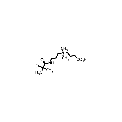 CCC(C)(C)C(=O)NCCC[N+](C)(C)CCCC(=O)O